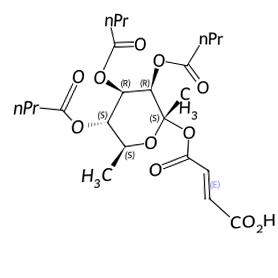 CCCC(=O)O[C@@H]1[C@@H](OC(=O)CCC)[C@@H](OC(=O)CCC)[C@](C)(OC(=O)/C=C/C(=O)O)O[C@H]1C